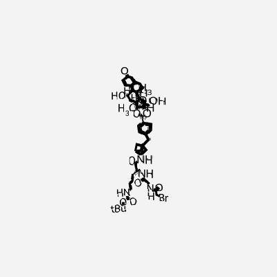 CC(C)(C)OC(=O)NCCCC[C@H](NC(=O)CNC(=O)CBr)C(=O)NC1CC2(Cc3ccc([C@@H]4O[C@@H]5C[C@H]6[C@@H]7CCC8=CC(=O)C=C[C@]8(C)[C@H]7[C@@H](O)C[C@]6(C)[C@]5(C(=O)CO)O4)cc3)CC1C2